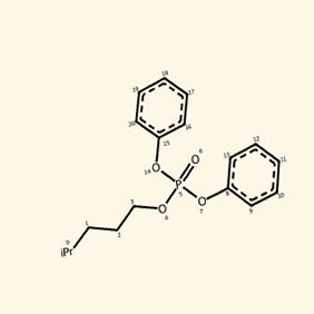 CC(C)CCCOP(=O)(Oc1ccccc1)Oc1ccccc1